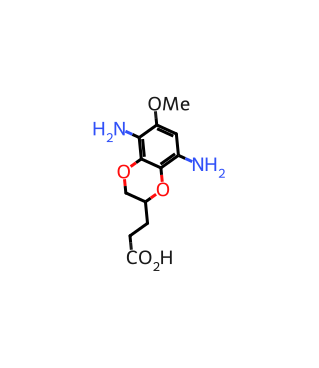 COc1cc(N)c2c(c1N)OCC(CCC(=O)O)O2